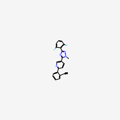 C#Cc1ccccc1-c1ccc(-c2nc(-c3c(F)cccc3F)nn2C)cn1